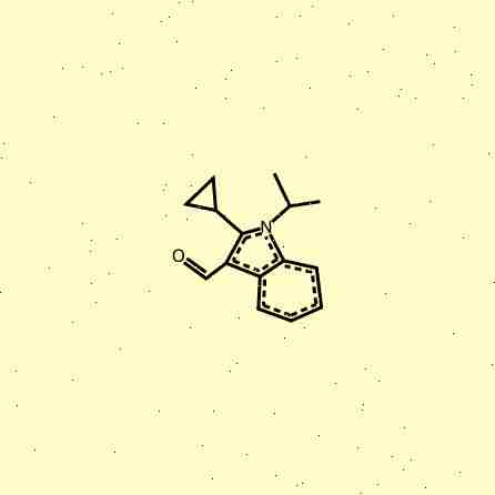 CC(C)n1c(C2CC2)c(C=O)c2ccccc21